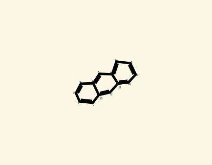 [c]1cccc2cc3ccc[c]c3cc12